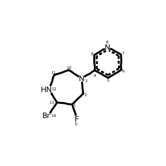 FC1CN(c2cccnc2)CCNC1Br